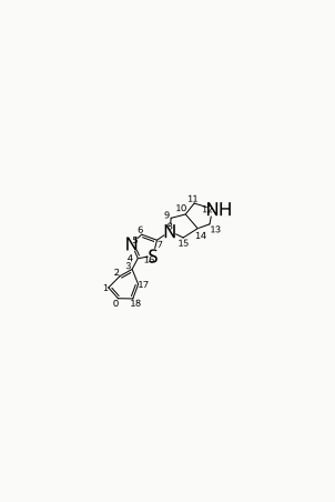 c1ccc(-c2ncc(N3CC4CNCC4C3)s2)cc1